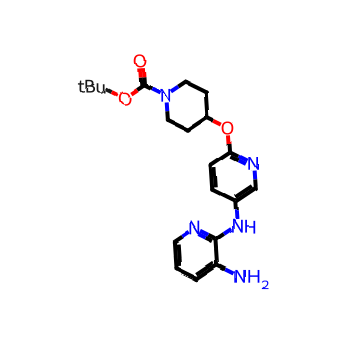 CC(C)(C)OC(=O)N1CCC(Oc2ccc(Nc3ncccc3N)cn2)CC1